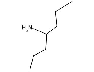 CCC[C](N)CCC